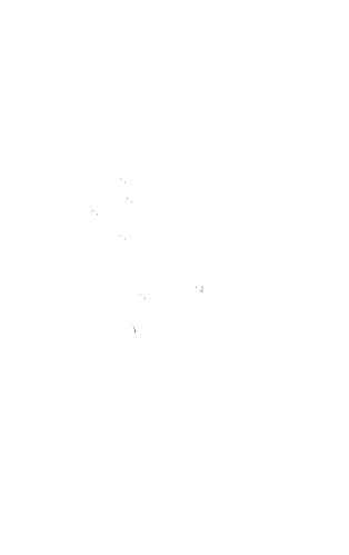 CC(C)C[C@H](NC(=O)[C@H](CCCNC(=N)N[N+](=O)[O-])NS(=O)(=O)c1ccc2ccccc2c1)B(O)O